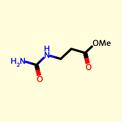 COC(=O)CCNC(N)=O